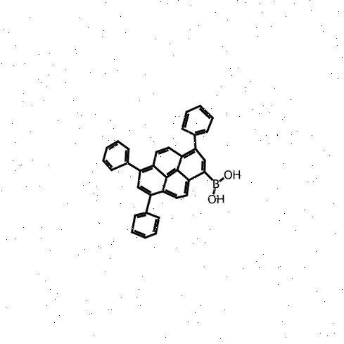 OB(O)c1cc(-c2ccccc2)c2ccc3c(-c4ccccc4)cc(-c4ccccc4)c4ccc1c2c43